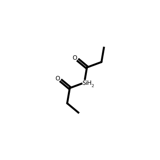 CCC(=O)[SiH2]C(=O)CC